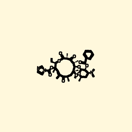 CC[C@H]1OC(=O)[C@H](C)C(=O)[C@H](C)[C@@H](O[C@@H]2O[C@H](C)C[C@H](N(C)C)[C@H]2OC(=O)c2ccccc2)[C@@](C)(OC)C[C@@H](C)C(=O)/C(C)=C/[C@]1(C)OC(=O)n1ccnc1